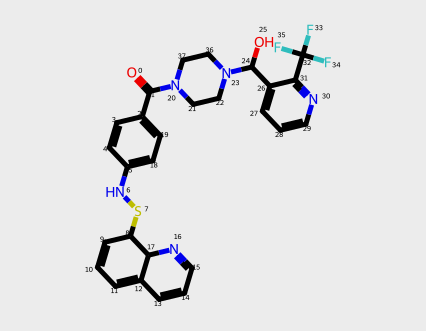 O=C(c1ccc(NSC2C=CC=C3C=CC=NC32)cc1)N1CCN(C(O)c2cccnc2C(F)(F)F)CC1